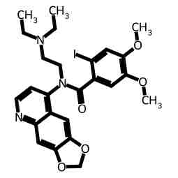 CCN(CC)CCN(C(=O)c1cc(OC)c(OC)cc1I)c1ccnc2cc3c(cc12)OCO3